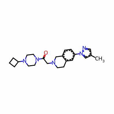 Cc1cnn(-c2ccc3c(c2)CCN(CC(=O)N2CCN(C4CCC4)CC2)C3)c1